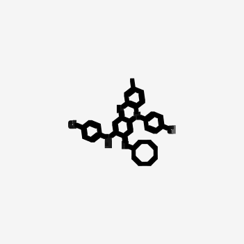 Cc1ccc2c(c1)nc1cc(Nc3ccc(Cl)cc3)c(=NC3CCCCCCC3)cc-1n2-c1ccc(Cl)cc1